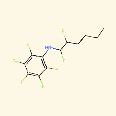 CCCCC(F)C(F)Nc1c(F)c(F)c(F)c(F)c1F